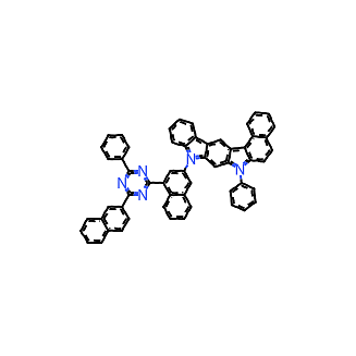 c1ccc(-c2nc(-c3ccc4ccccc4c3)nc(-c3cc(-n4c5ccccc5c5cc6c7c8ccccc8ccc7n(-c7ccccc7)c6cc54)cc4ccccc34)n2)cc1